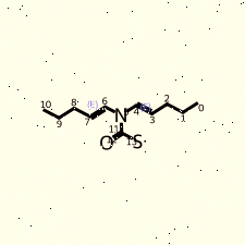 CCC/C=C/N(/C=C/CCC)C(=O)[S]